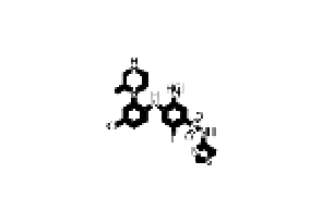 CC1CNCCN1c1cc(Cl)ccc1Nc1cc(F)c(S(=O)(=O)Nc2cscn2)cc1Cl.Cl